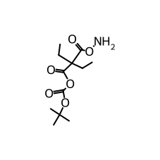 CCC(CC)(C(=O)ON)C(=O)OC(=O)OC(C)(C)C